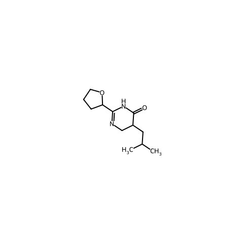 CC(C)CC1CN=C(C2CCCO2)NC1=O